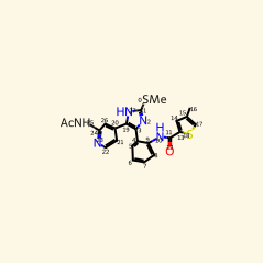 CSc1nc(-c2ccccc2NC(=O)c2cc(C)cs2)c(-c2ccnc(NC(C)=O)c2)[nH]1